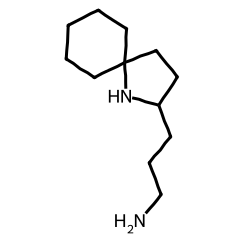 NCCCC1CCC2(CCCCC2)N1